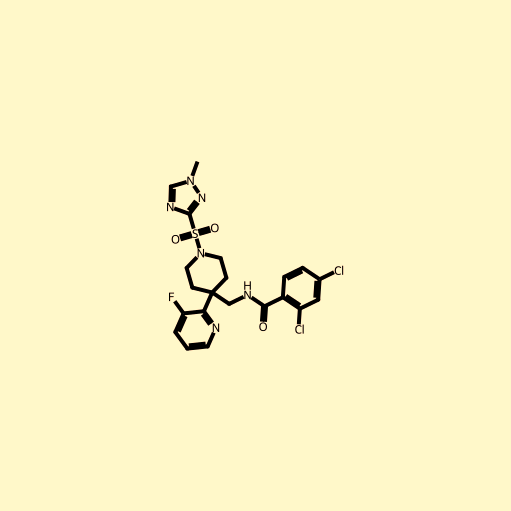 Cn1cnc(S(=O)(=O)N2CCC(CNC(=O)c3ccc(Cl)cc3Cl)(c3ncccc3F)CC2)n1